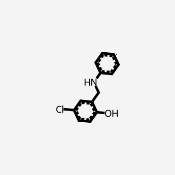 Oc1ccc(Cl)cc1CNc1cc[c]cc1